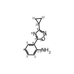 Nc1ccccc1-c1nc(C2CC2)no1